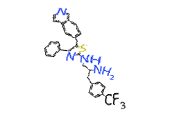 NC(CNc1nc(-c2ccccc2)c(-c2ccc3cnccc3c2)s1)Cc1ccc(C(F)(F)F)cc1